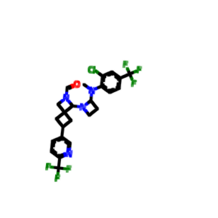 CN(c1ccc(C(F)(F)F)cc1Cl)C1CCN1C1N(C=O)CC12CC(c1ccc(C(F)(F)F)nc1)C2